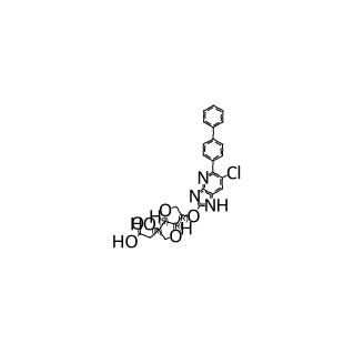 O=C(O)C[C@@]1(O)CO[C@@H]2[C@H](Oc3nc4nc(-c5ccc(-c6ccccc6)cc5)c(Cl)cc4[nH]3)CO[C@@H]21